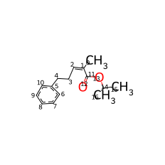 CC(=CCCc1ccccc1)C(=O)OC(C)C